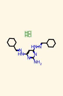 Cl.Cl.Nc1nc(NN=CC2CCCCC2)cc(NN=CC2CCCCC2)n1